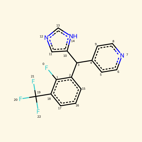 Fc1c(C(c2ccncc2)c2cnc[nH]2)cccc1C(F)(F)F